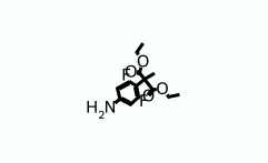 CCOC(=O)C(C)(C(=O)OCC)c1c(F)cc(N)cc1F